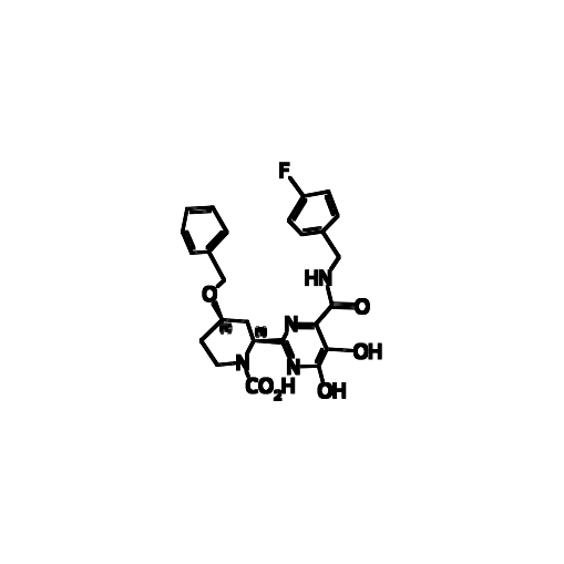 O=C(NCc1ccc(F)cc1)c1nc([C@@H]2C[C@H](OCc3ccccc3)CCN2C(=O)O)nc(O)c1O